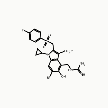 CCOC(=O)c1c(CS(=O)(=O)c2ccc(F)cc2)n(C2CC2)c2cc(Br)c(O)c(CNC(=N)N)c12